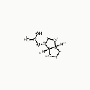 ON(O)O[C@@H]1CO[C@@H]2CCO[C@@H]21